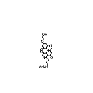 CC(=O)NCCOc1ncc(Cl)c2c1c(=O)cc(C)n2-c1c(Cl)cc(OCCO)cc1Cl